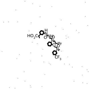 CC(C)CCN(C(=O)CNC(=O)Nc1cccc(C(C)C(=O)O)c1)c1ccccc1OCC(=O)N(C)c1cccc(C(F)(F)F)c1